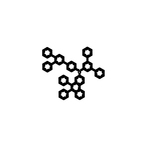 c1ccc(-c2cc(-c3ccccc3)cc(N(c3ccc(-c4ccc(-c5ccccc5)c(-c5ccccc5)c4)cc3)c3ccc4c(c3)c(-c3ccccc3)c(-c3ccccc3)c3ccccc34)c2)cc1